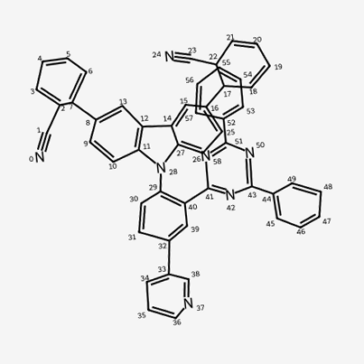 N#Cc1ccccc1-c1ccc2c(c1)c1cc(C3C=CC=CC3C#N)ccc1n2-c1ccc(-c2cccnc2)cc1-c1nc(-c2ccccc2)nc(-c2ccccc2)n1